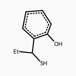 CCC(S)c1ccccc1O